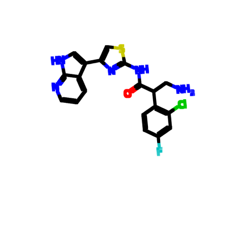 NCC(C(=O)Nc1nc(-c2c[nH]c3ncccc23)cs1)c1ccc(F)cc1Cl